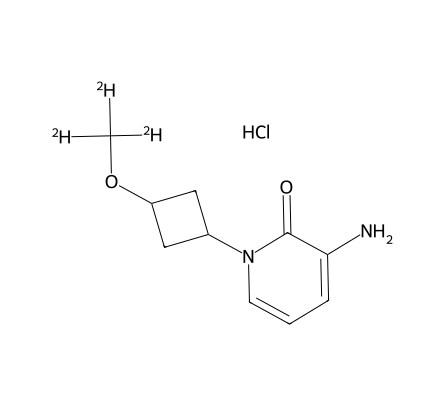 Cl.[2H]C([2H])([2H])OC1CC(n2cccc(N)c2=O)C1